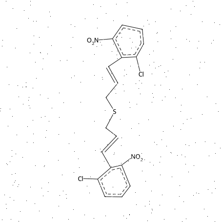 O=[N+]([O-])c1cccc(Cl)c1C=CCSCC=Cc1c(Cl)cccc1[N+](=O)[O-]